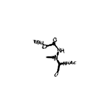 CC(=O)NC(=O)N(C)NC(=O)OC(C)(C)C